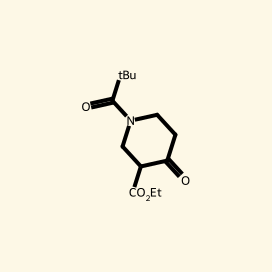 CCOC(=O)C1CN(C(=O)C(C)(C)C)CCC1=O